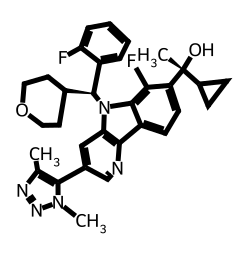 Cc1nnn(C)c1-c1cnc2c3ccc([C@](C)(O)C4CC4)c(F)c3n([C@H](c3ccccc3F)C3CCOCC3)c2c1